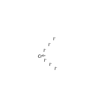 [Cr+6].[I-].[I-].[I-].[I-].[I-].[I-]